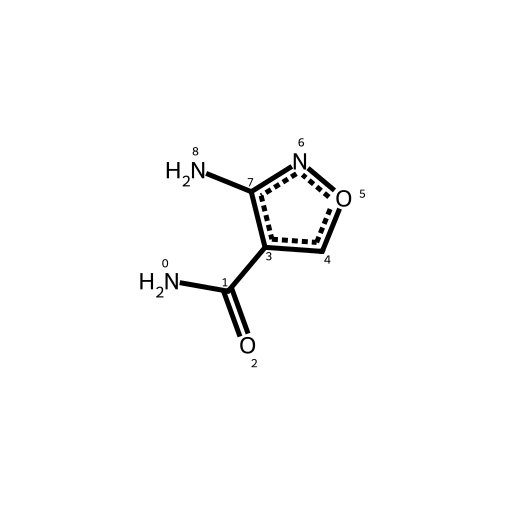 NC(=O)c1conc1N